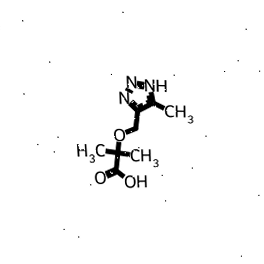 Cc1[nH]nnc1COC(C)(C)C(=O)O